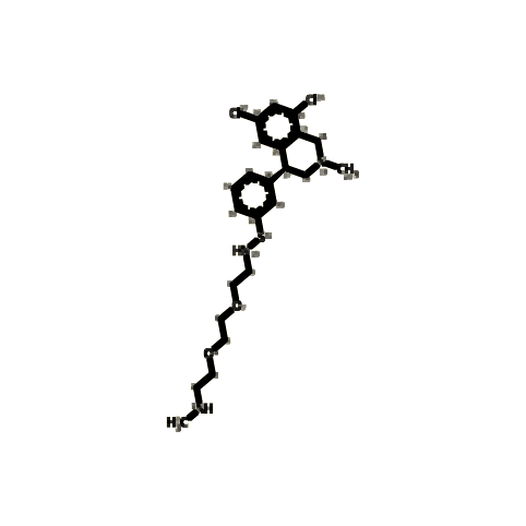 CNCCOCCOCCNSc1cccc([C@@H]2CN(C)Cc3c(Cl)cc(Cl)cc32)c1